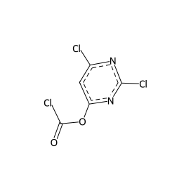 O=C(Cl)Oc1cc(Cl)nc(Cl)n1